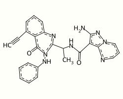 C#Cc1cccc2nc(C(C)NC(=O)c3c(N)nn4cccnc34)n(Nc3ccccc3)c(=O)c12